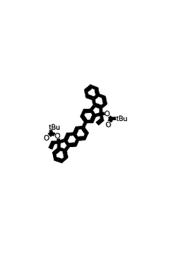 C=CC1(OC(=O)C(C)(C)C)c2ccccc2-c2cc3ccc(-c4ccc5c(c4)C(C=C)(OC(=O)C(C)(C)C)c4ccc6ccccc6c4-5)cc3cc21